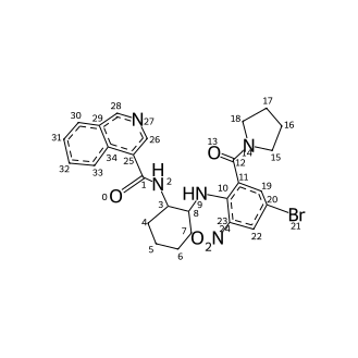 O=C(NC1CCCCC1Nc1c(C(=O)N2CCCC2)cc(Br)cc1[N+](=O)[O-])c1cncc2ccccc12